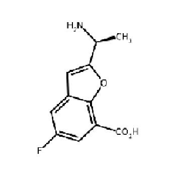 C[C@H](N)c1cc2cc(F)cc(C(=O)O)c2o1